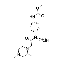 COC(=O)Nc1ccc(N(O)C(=O)CN2CCN(C)CC2C)cc1.Cl